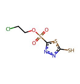 O=S(=O)(OCCCl)c1nnc(S)s1